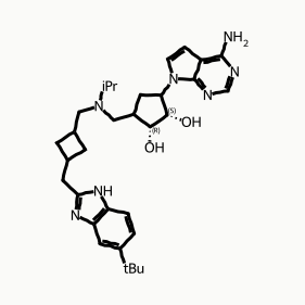 CC(C)N(CC1CC(Cc2nc3cc(C(C)(C)C)ccc3[nH]2)C1)CC1CC(n2ccc3c(N)ncnc32)[C@H](O)[C@@H]1O